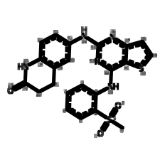 CS(=O)(=O)c1ccccc1Nc1nc(Nc2ccc3c(c2)CCC(=O)N3)nc2ccsc12